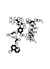 C#CCOc1cc(-n2nc(C(C)(C)C)oc2=O)c(Cl)cc1Cl.COc1cc(OC)nc(NC(=O)NS(=O)(=O)N(C)S(C)(=O)=O)n1.O=C(O)COc1ccc(Cl)c2cccnc12